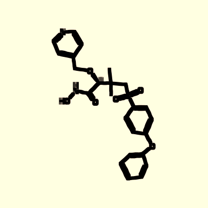 CC(C)(CS(=O)(=O)c1ccc(Oc2ccccc2)cc1)[C@H](OCc1ccncc1)C(=O)NO